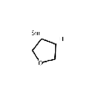 C1CCOC1.I.[Sm]